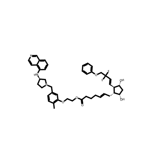 Cc1ccc(CN2CC[C@@H](Nc3cccc4cnccc34)C2)cc1OCCOC(=O)CCC/C=C/C[C@@H]1[C@@H](/C=C/C(F)(F)COc2ccccc2)[C@H](O)C[C@@H]1O